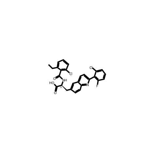 CCc1cccc(Cl)c1C(=O)N[C@@H](Cc1ccc2nc(-c3c(F)cccc3Cl)ccc2c1)C(=O)O